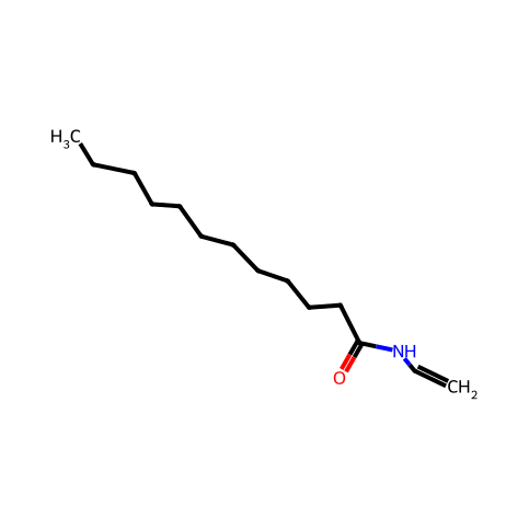 C=CNC(=O)CCCCCCCCCCC